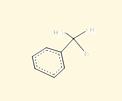 CC([SiH3])(Br)c1ccccc1